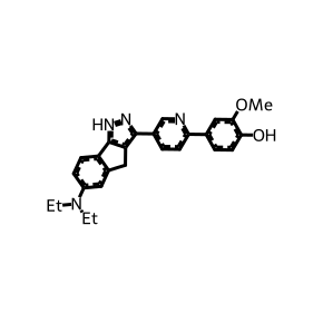 CCN(CC)c1ccc2c(c1)Cc1c(-c3ccc(-c4ccc(O)c(OC)c4)nc3)n[nH]c1-2